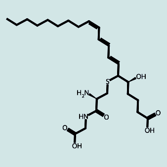 CCCCCCCC\C=C/C=C/C=C/C(SC[C@H](N)C(=O)NCC(=O)O)[C@@H](O)CCCC(=O)O